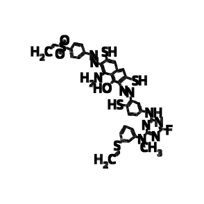 C=CSc1cccc(N(C)c2nc(F)nc(Nc3ccc(S)c(/N=N/c4c(S)cc5cc(S)c(/N=N/c6ccc(S(=O)(=O)C=C)cc6)c(N)c5c4O)c3)n2)c1